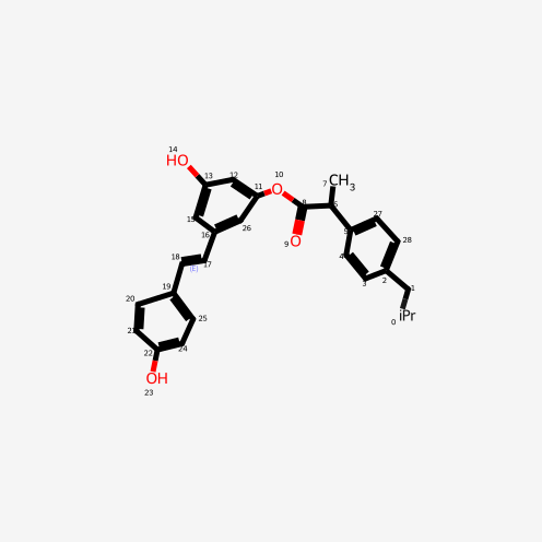 CC(C)Cc1ccc(C(C)C(=O)Oc2cc(O)cc(/C=C/c3ccc(O)cc3)c2)cc1